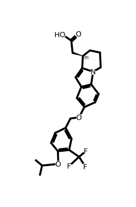 CC(C)Oc1ccc(COc2ccc3c(c2)cc2n3CCC[C@@H]2CC(=O)O)cc1C(F)(F)F